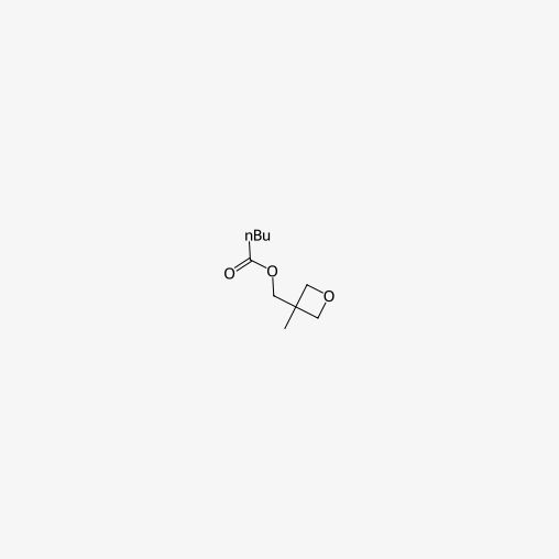 CCCCC(=O)OCC1(C)COC1